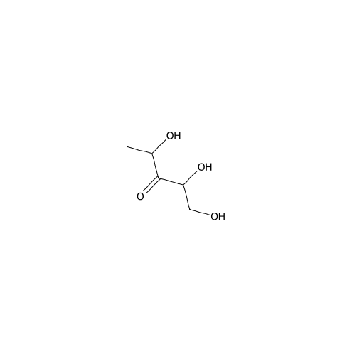 CC(O)C(=O)C(O)CO